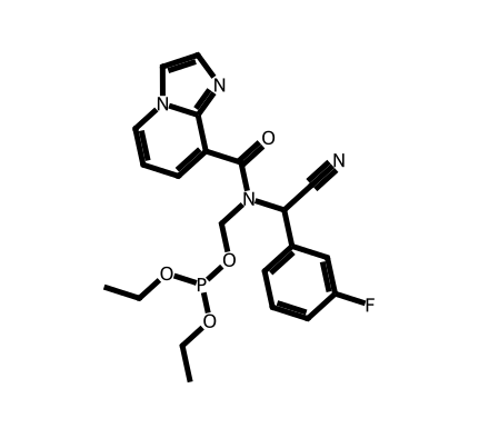 CCOP(OCC)OCN(C(=O)c1cccn2ccnc12)C(C#N)c1cccc(F)c1